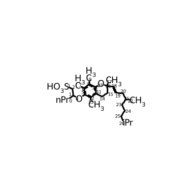 CCCC(CS(=O)(=O)O)Oc1c(C)c(C)c2c(c1C)CCC(C)(C=CCC(C)CCCC(C)C)O2